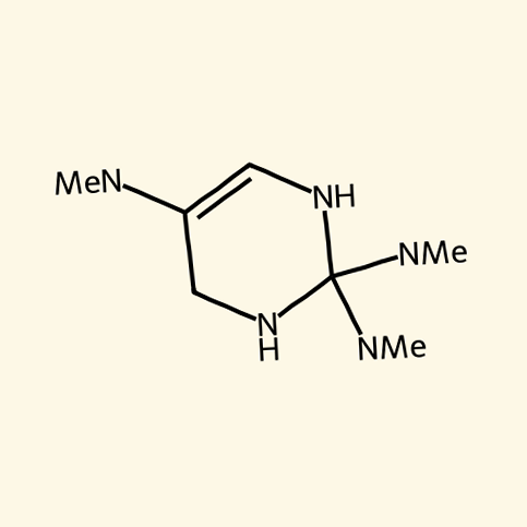 CNC1=CNC(NC)(NC)NC1